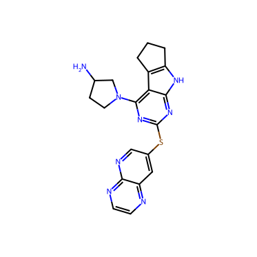 NC1CCN(c2nc(Sc3cnc4nccnc4c3)nc3[nH]c4c(c23)CCC4)C1